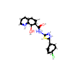 O=C(Nc1nnc(-c2ccc(Cl)cc2)s1)c1ccc2cccnc2c1O